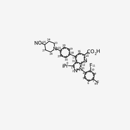 CC(C)c1nn(-c2ccc(F)cc2F)c2nc(C(=O)O)cc(-c3ccc(N4CCC(C#N)CC4)cc3)c12